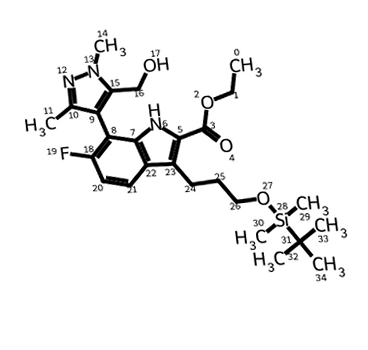 CCOC(=O)c1[nH]c2c(-c3c(C)nn(C)c3CO)c(F)ccc2c1CCCO[Si](C)(C)C(C)(C)C